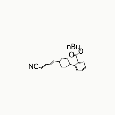 CCCCOC(=O)c1ccccc1C1CCC(/C=C/C=CC#N)CC1